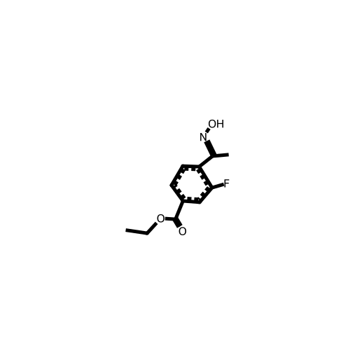 CCOC(=O)c1ccc(C(C)=NO)c(F)c1